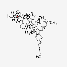 CCC1=C[C@H]2CN(C1)Cc1c([nH]c3ccc(SCCCCO)cc13)[C@@](C(=O)OC)(C1C=C3C(=CC1OC)N(C)[C@H]1[C@@](O)(C(=O)OC)[C@H](OC(C)=O)[C@]4(CC)C=CCN5CC[C@]31[C@@H]54)C2